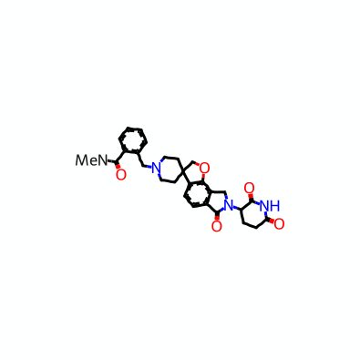 CNC(=O)c1ccccc1CN1CCC2(CC1)COc1c2ccc2c1CN(C1CCC(=O)NC1=O)C2=O